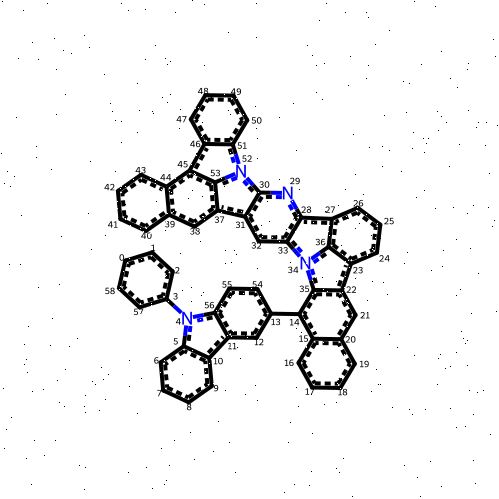 c1ccc(-n2c3ccccc3c3cc(-c4c5ccccc5cc5c6cccc7c8nc9c(cc8n(c45)c67)c4cc5ccccc5c5c6ccccc6n9c45)ccc32)cc1